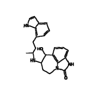 CC(CCc1cccc2cc[nH]c12)NC1CCn2c(=O)[nH]c3cccc(c32)C1O